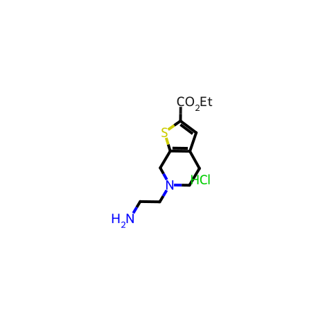 CCOC(=O)c1cc2c(s1)CN(CCN)CC2.Cl